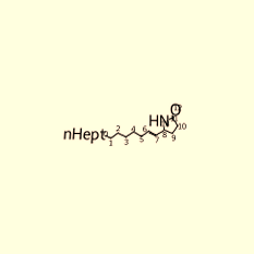 CCCCCCCCCCCCC=CC1CCC(=O)N1